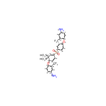 Nc1ccc(Oc2ccc(S(=O)(=O)C3=CC(S(=O)(=O)O)(S(=O)(=O)O)C(Oc4ccc(N)cc4C(F)(F)F)C=C3)cc2)c(C(F)(F)F)c1